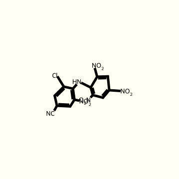 N#Cc1cc(Cl)c(Nc2c([N+](=O)[O-])cc([N+](=O)[O-])cc2[N+](=O)[O-])c([N+](=O)[O-])c1